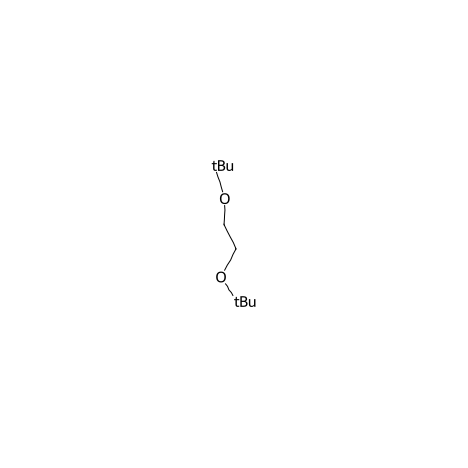 CC(C)(C)OCCOC(C)(C)C